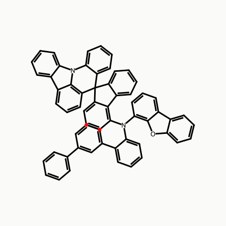 c1ccc(-c2cccc(-c3ccccc3N(c3cccc4c3-c3ccccc3C43c4ccccc4-n4c5ccccc5c5cccc3c54)c3cccc4c3oc3ccccc34)c2)cc1